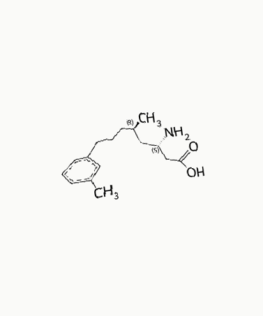 Cc1cccc(CCC[C@@H](C)C[C@H](N)CC(=O)O)c1